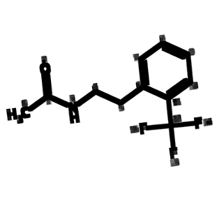 CC(=O)NCCc1ccccc1C(F)(F)F